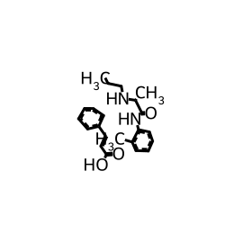 CCCNC(C)C(=O)Nc1ccccc1C.O=C(O)/C=C/c1ccccc1